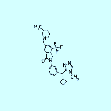 C[C@H]1CCCN(Cc2cc3c(c(C(F)(F)F)c2)CN(c2cccc([C@H](c4nncn4C)C4CCC4)c2)C3=O)C1